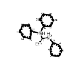 CC[C@H]([SiH2]c1ccccc1)[SiH](c1ccccc1)c1ccccc1